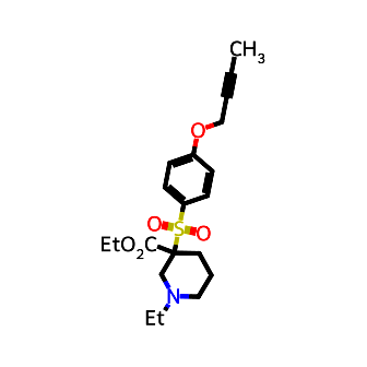 CC#CCOc1ccc(S(=O)(=O)C2(C(=O)OCC)CCCN(CC)C2)cc1